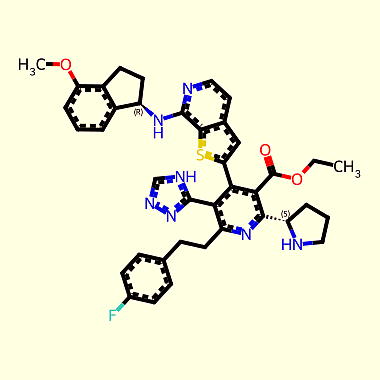 CCOC(=O)c1c([C@@H]2CCCN2)nc(CCc2ccc(F)cc2)c(-c2nnc[nH]2)c1-c1cc2ccnc(N[C@@H]3CCc4c(OC)cccc43)c2s1